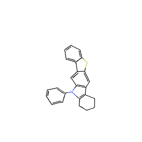 c1ccc(-n2c3c(c4cc5sc6ccccc6c5cc42)CCCC3)cc1